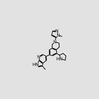 Cc1c[nH]c2ncc(-c3cc4c(c(C5CCCN5)c3)CCN(c3ccnn3C)C4)cc12